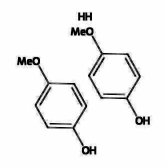 COc1ccc(O)cc1.COc1ccc(O)cc1.[HH]